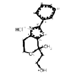 CC1(CCO)OCCc2nc(-c3ccccc3)sc21.Cl